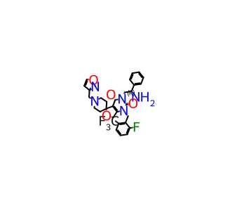 N[C@@H](Cn1c(=O)c2c(n(Cc3c(F)cccc3C(F)(F)F)c1=O)COC21CCN(Cc2ccon2)CC1)c1ccccc1